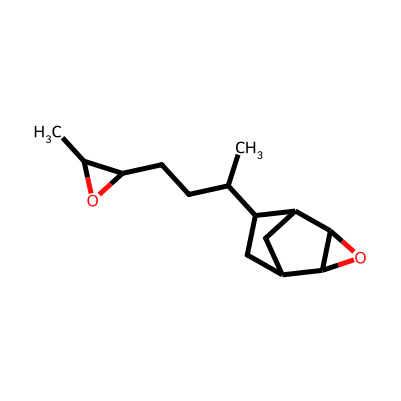 CC(CCC1OC1C)C1CC2CC1C1OC21